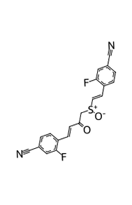 N#Cc1ccc(C=C[S+]([O-])CC(=O)/C=C/c2ccc(C#N)cc2F)c(F)c1